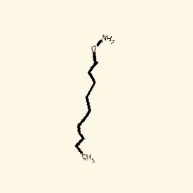 CCCCCCCCCON